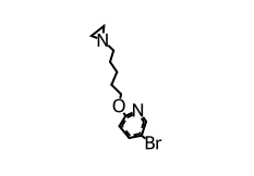 Brc1ccc(OCCCCCN2CC2)nc1